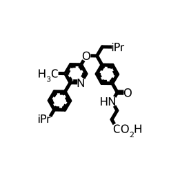 Cc1cc(OC(CC(C)C)c2ccc(C(=O)NCCC(=O)O)cc2)cnc1-c1ccc(C(C)C)cc1